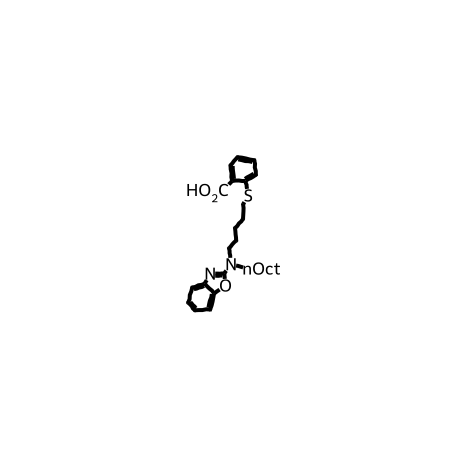 CCCCCCCCN(CCCCCSc1ccccc1C(=O)O)c1nc2ccccc2o1